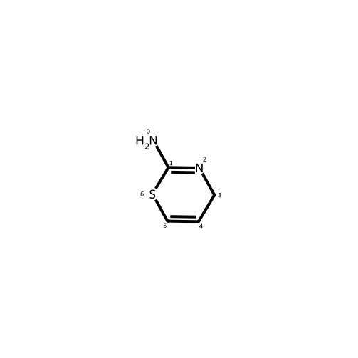 NC1=NCC=CS1